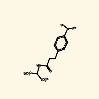 CCCN(CC)c1ccc(CCC(=O)NC(C(=O)OCC)C(=O)OCC)cc1